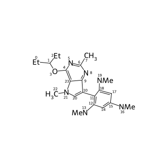 CCC(CC)Oc1nc(C)nc2c(-c3c(NC)cc(NC)cc3NC)cn(C)c12